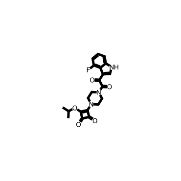 CC(C)Oc1c(N2CCN(C(=O)C(=O)c3c[nH]c4cccc(F)c34)CC2)c(=O)c1=O